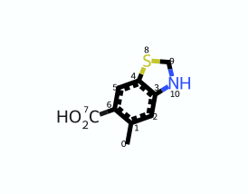 Cc1cc2c(cc1C(=O)O)SCN2